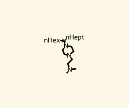 CCCCCCC[C@@H](CCCCCC)N1CCN(CCN(C)C)CC1